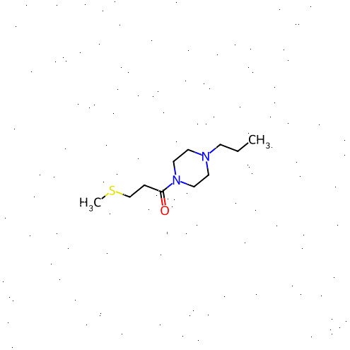 CCCN1CCN(C(=O)CCSC)CC1